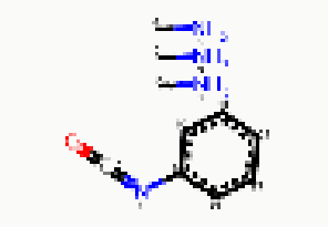 CN.CN.CN.O=C=Nc1ccccc1